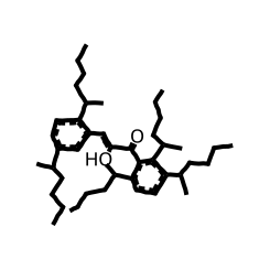 CCCCC(C)c1ccc(C(C)CCCC)c(C=C(O)C(=O)c2c(C(C)CCCC)ccc(C(C)CCCC)c2C(C)CCCC)c1